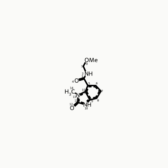 COCNC(=O)c1cccc2[nH]c(=O)n(C)c12